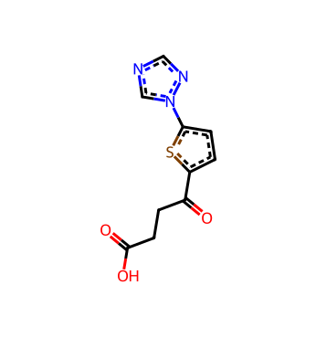 O=C(O)CCC(=O)c1ccc(-n2cncn2)s1